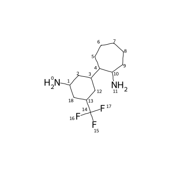 NC1CC(C2CCCCCC2N)CC(C(F)(F)F)C1